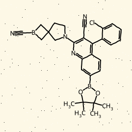 CC1(C)OB(c2ccc3c(-c4ccccc4Cl)c(C#N)c(N4CCC5(CB(C#N)C5)C4)nc3c2)OC1(C)C